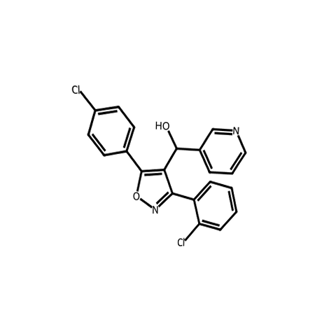 OC(c1cccnc1)c1c(-c2ccccc2Cl)noc1-c1ccc(Cl)cc1